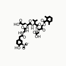 Cc1cccc(C)c1C(=O)OCC(=O)[C@H](CC(=O)O)NC(=O)[C@@H](NC(=O)[C@H](CCC(=O)O)NC(=O)CNC(=O)Cc1ccc(O)c([N+](=O)[O-])c1)C(C)C